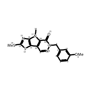 COc1cccc(Cn2ncc3c4sc(SC)nc4n(C)c3c2=O)c1